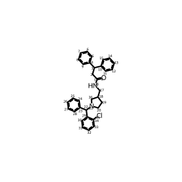 O=C(CC(c1ccccc1)c1ccccc1)NCC1CCN(C(c2ccccc2)c2ccccc2Cl)C1